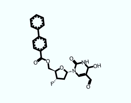 O=CC1=CN([C@@H]2C[C@H](F)[C@@H](COC(=O)c3ccc(-c4ccccc4)cc3)O2)C(=O)NC1O